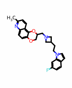 Cc1ccc2c3c(ccc2n1)OCC(CN1CC(CCn2ccc4ccc(F)cc42)C1)O3